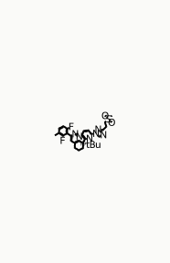 Cc1ccc(F)c(-c2cc3c(nn2)[C@](c2cccc(-n4cnc(CCS(C)(=O)=O)n4)n2)(C(C)(C)C)CCC3)c1F